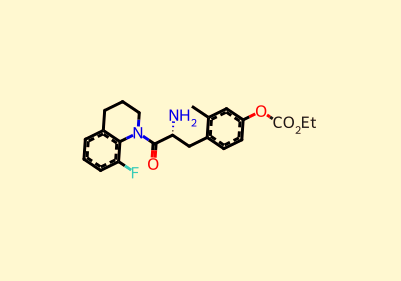 CCOC(=O)Oc1ccc(C[C@@H](N)C(=O)N2CCCc3cccc(F)c32)c(C)c1